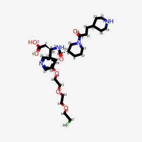 O=C(O)C[C@@H](NC(=O)[C@H]1CCCN(C(=O)CCC2CCNCC2)C1)c1cncc(OCCOCCOCCF)c1